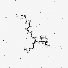 CC/C=C(/C=N/C/C=C\C=C/CCC)\C=C(/C)CC